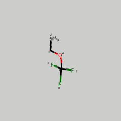 FC(F)(F)OC[SiH3]